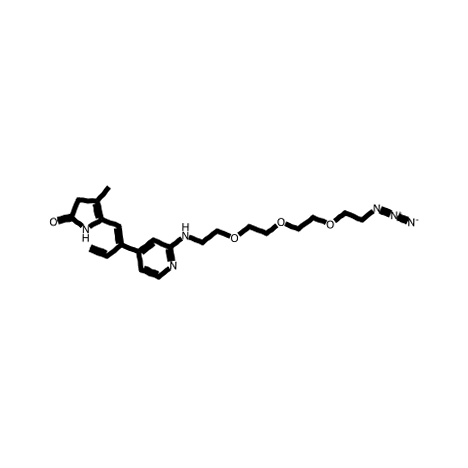 C=C/C(=C\C1=C(C)CC(=O)N1)c1ccnc(NCCOCCOCCOCCN=[N+]=[N-])c1